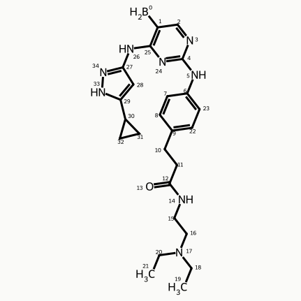 Bc1cnc(Nc2ccc(CCC(=O)NCCN(CC)CC)cc2)nc1Nc1cc(C2CC2)[nH]n1